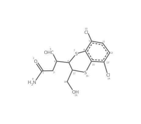 NC(=O)CC(C=O)C1Sc2c(Cl)ccc(Cl)c2SC1CO